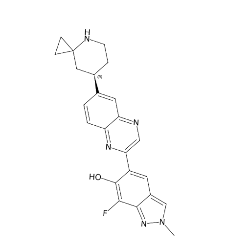 Cn1cc2cc(-c3cnc4cc([C@@H]5CCNC6(CC6)C5)ccc4n3)c(O)c(F)c2n1